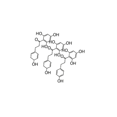 O=C(CCC1=CCC(O)C=C1)c1c(O)cc(O)cc1O.O=C(CCC1=CCC(O)C=C1)c1c(O)cc(O)cc1O.O=C(CCc1ccc(O)cc1)c1c(O)cc(O)cc1O